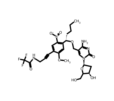 CCCC[C@H](OCc1cn([C@H]2C[C@@H](O)C(CO)O2)c(=O)nc1N)c1cc(OC)c(C#CCNC(=O)C(F)(F)F)cc1[N+](=O)[O-]